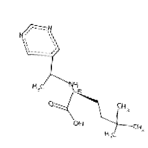 CC(N[C@@H](CCC(C)(C)C)C(=O)O)c1cncnc1